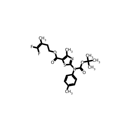 CC(CCOC(=O)c1sc(N(C(=O)OC(C)(C)C)c2ccc(C)cc2)nc1C)=C(F)F